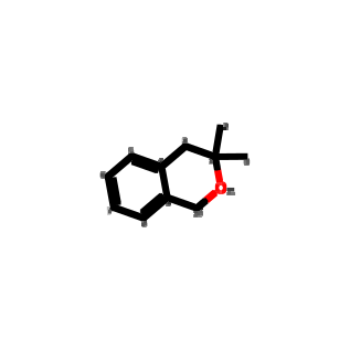 CC1(C)Cc2ccccc2[CH]O1